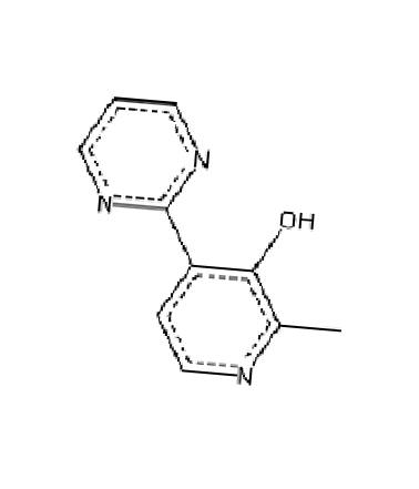 Cc1nccc(-c2ncccn2)c1O